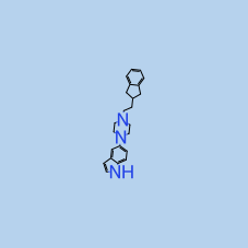 c1ccc2c(c1)CC(CCN1CCN(c3ccc4[nH]ccc4c3)CC1)C2